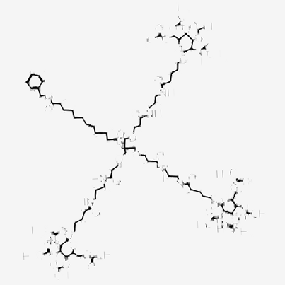 CC(=O)NC1C(OC(C)=O)[C@H](OC(C)=O)C(COC(C)=O)O[C@H]1OCCCCC(=O)NCCCNC(=O)CCOCC(COCCC(=O)NCCCNC(=O)CCCCO[C@@H]1OC(COC(C)=O)[C@@H](OC(C)=O)C(OC(C)=O)[C@@H]1NC(C)=O)(COCCC(=O)NCCCNC(=O)CCCCO[C@@H]1OC(COC(C)=O)[C@@H](OC(C)=O)C(OC(C)=O)[C@@H]1NC(C)=O)NC(=O)CCCCCCCCCCC(=O)OCc1ccccc1